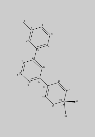 Cc1cccc(-c2cnnc(C3=CC[C@@](C)(I)C=C3)c2)c1